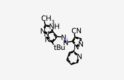 Cc1nn2nc(C(C)(C)C)c(/N=N/c3c(C#N)cnn3-c3ccccn3)c2[nH]1